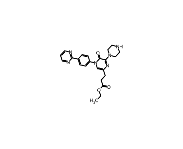 CCOC(=O)CCc1cn(-c2ccc(-c3ncccn3)cc2)c(=O)c(N2CCNCC2)n1